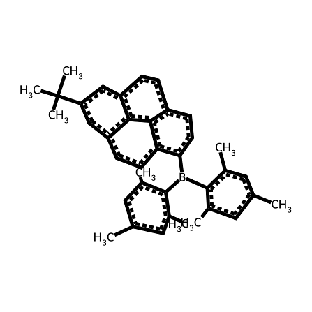 Cc1cc(C)c(B(c2c(C)cc(C)cc2C)c2ccc3ccc4cc(C(C)(C)C)cc5ccc2c3c45)c(C)c1